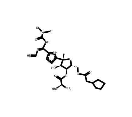 CCN(CC)C(=O)N/C(=N/C=N)c1ccc([C@]2(C)O[C@H](COC(=O)CC3CCCC3)[C@@H](OC(=O)[C@@H](N)C(C)(C)C)[C@H]2O)[nH]1